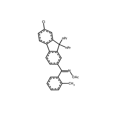 CCCC1(CCC)c2cc(Cl)ccc2-c2ccc(C(=NOC(C)=O)c3ccccc3C)cc21